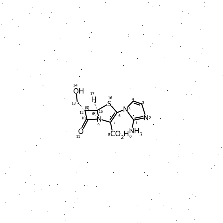 Nc1nccn1C1=C(C(=O)O)N2C(=O)[C@H](CO)[C@H]2S1